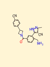 Cc1n[nH]c(-c2cc(C(=O)N3CC(c4ccc(C#N)cc4)C3)ccc2CN)c1C#N